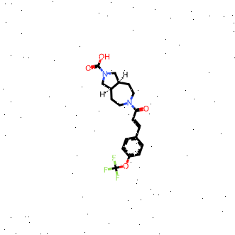 O=C(O)N1C[C@H]2CCN(C(=O)/C=C/c3ccc(OC(F)(F)F)cc3)CC[C@H]2C1